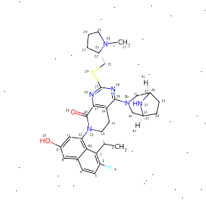 CCc1c(F)ccc2cc(O)cc(N3CCc4c(nc(SC[C@@H]5CCCN5C)nc4N4C[C@H]5CC[C@@H](C4)N5)C3=O)c12